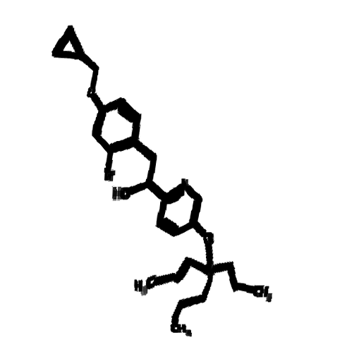 CCC[Si](CCC)(CCC)Oc1ccc(C(O)Cc2ccc(OCC3CC3)cc2Br)nc1